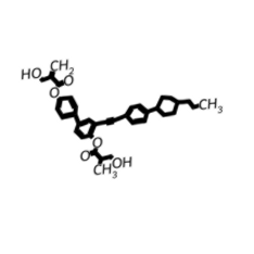 C=C(CO)C(=O)Oc1ccc(-c2ccc(OC(=O)C(C)CO)c(C#Cc3ccc(C4CCC(CCC)CC4)cc3)c2)cc1